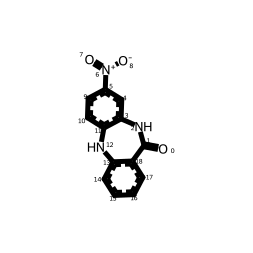 O=C1Nc2cc([N+](=O)[O-])ccc2Nc2ccccc21